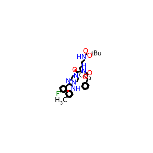 Cc1ccc(Nc2c(-c3ccc(F)cc3)nc3n2CCN(C(=O)C(C)(CCCCNC(=O)OC(C)(C)C)NC(=O)OCc2ccccc2)C3)cc1